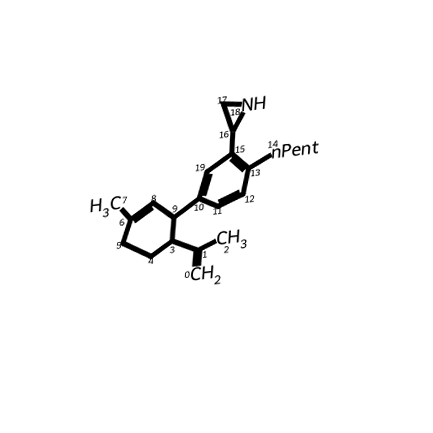 C=C(C)C1CCC(C)=CC1c1ccc(CCCCC)c(C2CN2)c1